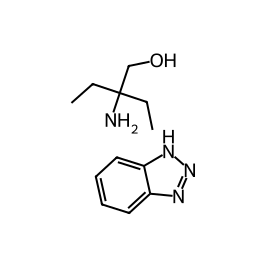 CCC(N)(CC)CO.c1ccc2[nH]nnc2c1